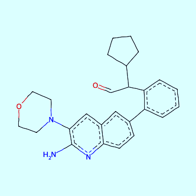 Nc1nc2ccc(-c3ccccc3C(C=O)C3CCCC3)cc2cc1N1CCOCC1